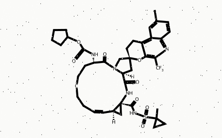 Cc1ccc2nc(C(F)(F)F)c3c(c2c1)CC[C@]1(C[C@H]2C(=O)N[C@]4(C(=O)NS(=O)(=O)C5(C)CC5)C[C@H]4/C=C\CCCCC[C@H](NC(=O)OC4CCCC4)C(=O)N2C1)O3